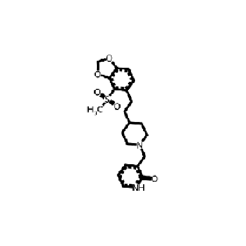 CS(=O)(=O)c1c(CCC2CCN(Cc3ccc[nH]c3=O)CC2)ccc2c1OCO2